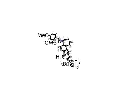 COc1ccc(C/N=C2\CCCCc3c2ccc2c3cc(CO[Si](C)(C)C(C)(C)C)n2C)c(OC)c1